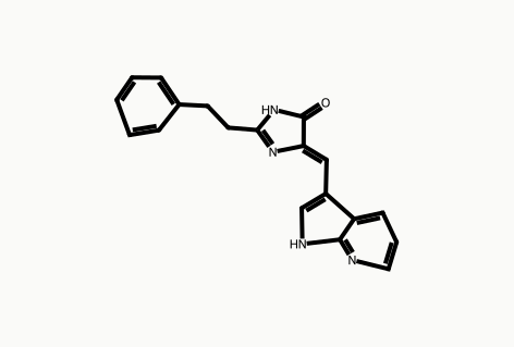 O=C1NC(CCc2ccccc2)=NC1=Cc1c[nH]c2ncccc12